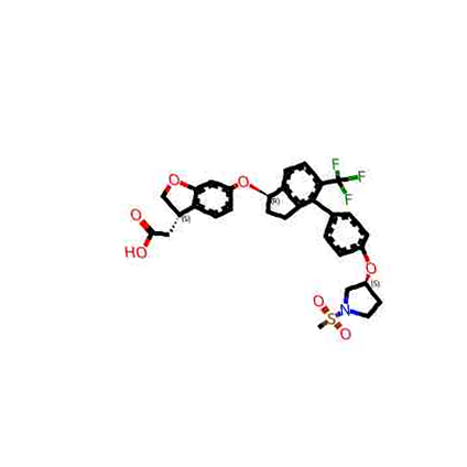 CS(=O)(=O)N1CC[C@H](Oc2ccc(-c3c(C(F)(F)F)ccc4c3CC[C@H]4Oc3ccc4c(c3)OC[C@H]4CC(=O)O)cc2)C1